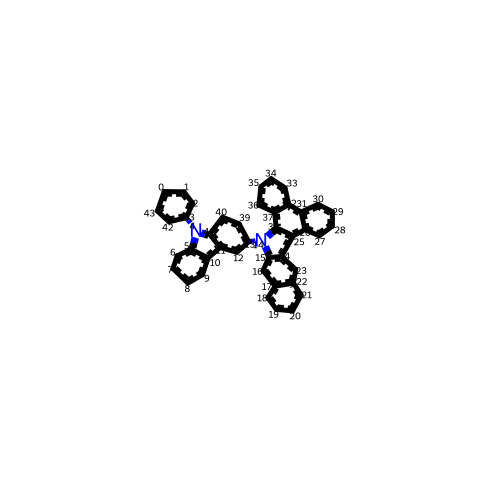 c1ccc(-n2c3ccccc3c3cc(-n4c5cc6ccccc6cc5c5c6ccccc6c6ccccc6c54)ccc32)cc1